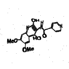 COc1cc2nc(O)c(NC(=O)c3ccncc3)c(O)c2cc1OC